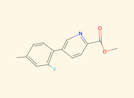 COC(=O)c1ccc(-c2ccc(C)cc2F)cn1